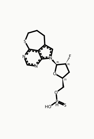 O[PH](=S)OC[C@@H]1C[C@@H](F)[C@H](n2cc3c4c(ncnc42)SCCC3)O1